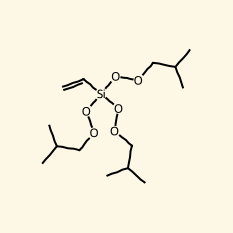 C=C[Si](OOCC(C)C)(OOCC(C)C)OOCC(C)C